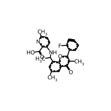 Cc1cc(C(C)Nc2ccc(C)nc2C(=O)O)c2oc(-c3ccc#cc3F)c(C)c(=O)c2c1